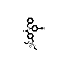 CCOP(=O)(Cc1ccc(C(=O)N(Cc2ccccc2)c2ccc(C#N)cc2)cc1)OCC